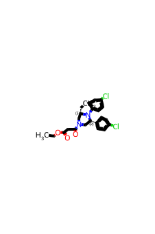 CCOC(=O)CC(=O)N1C[C@H](CC)N(c2ccc(Cl)cc2)[C@H](c2ccc(Cl)cc2)C1